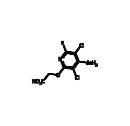 O=C(O)COc1nc(F)c(Cl)c([AsH2])c1Cl